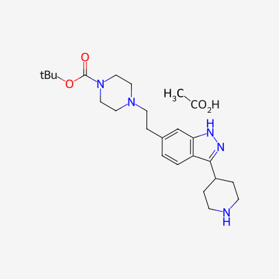 CC(=O)O.CC(C)(C)OC(=O)N1CCN(CCc2ccc3c(C4CCNCC4)n[nH]c3c2)CC1